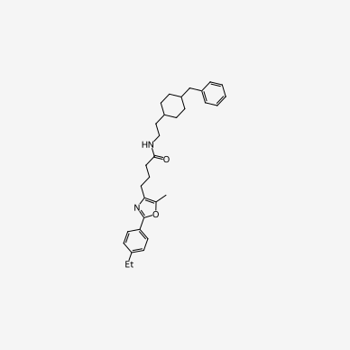 CCc1ccc(-c2nc(CCCC(=O)NCCC3CCC(Cc4ccccc4)CC3)c(C)o2)cc1